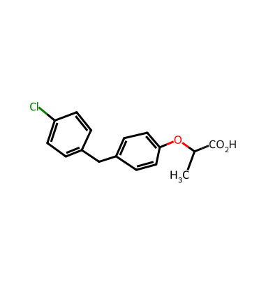 CC(Oc1ccc(Cc2ccc(Cl)cc2)cc1)C(=O)O